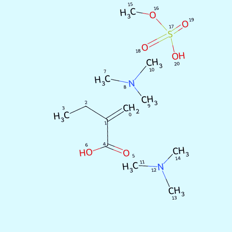 C=C(CC)C(=O)O.CN(C)C.CN(C)C.COS(=O)(=O)O